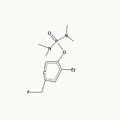 CCc1cc(CF)ccc1OP(=O)(N(C)C)N(C)C